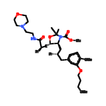 COCCCOc1cc(C[C@@H](C[C@H]2[C@H](C[C@H](C(=O)NCCN3CCOCC3)C(C)C)OC(C)(C)N2C(=O)OC(C)(C)C)C(C)C)ccc1OC